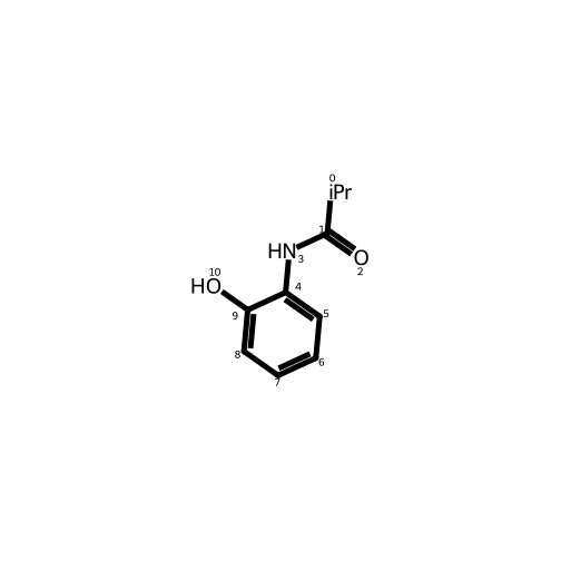 CC(C)C(=O)Nc1ccccc1O